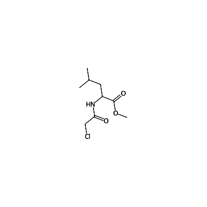 COC(=O)C(CC(C)C)NC(=O)CCl